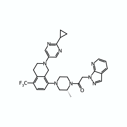 C[C@@H]1CN(c2ccc(C(F)(F)F)c3c2CN(c2cnc(C4CC4)nc2)CC3)CCN1C(=O)Cn1ncc2cccnc21